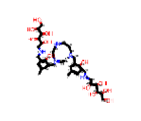 Cc1cc(CNCC(O)C(O)C(O)C(O)CO)c(O)c(CN2CCCNCCCN(Cc3cc(C)cc(CNCC(O)C(O)C(O)C(O)CO)c3O)CC2)c1